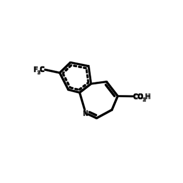 O=C(O)C1=Cc2ccc(C(F)(F)F)cc2N=CC1